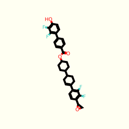 O=C(OC1CCC(C2CC=C(c3ccc(C4CO4)c(F)c3F)CC2)CC1)c1ccc(-c2ccc(O)c(F)c2F)cc1